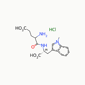 Cl.Cn1cc(C[C@@H](NC(=O)C(N)CCC(=O)O)C(=O)O)c2ccccc21